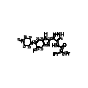 CC(C)N(C(=O)Nc1c[nH]nc1-c1nc2cc(F)c(N3CCN(C)CC3)cc2[nH]1)C(C)C